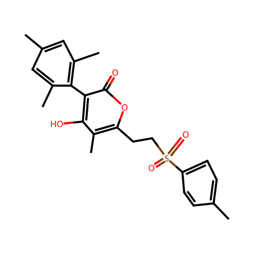 Cc1ccc(S(=O)(=O)CCc2oc(=O)c(-c3c(C)cc(C)cc3C)c(O)c2C)cc1